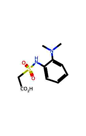 CN(C)c1ccccc1NS(=O)(=O)CC(=O)O